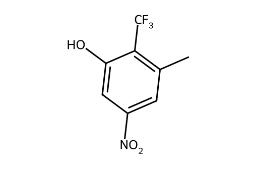 Cc1cc([N+](=O)[O-])cc(O)c1C(F)(F)F